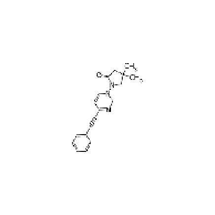 CC1(C)CC(=O)N(N2C=CC(C#Cc3ccccc3)=NC2)C1